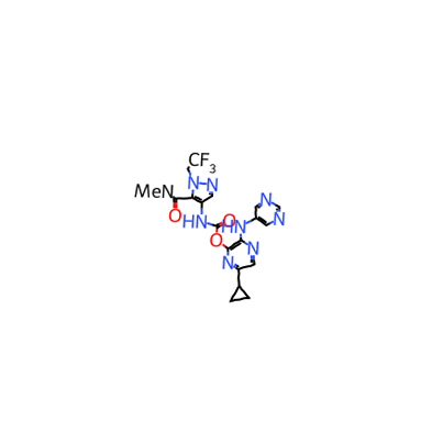 CNC(=O)c1c(NC(=O)Oc2nc(C3CC3)cnc2Nc2cncnc2)cnn1CC(F)(F)F